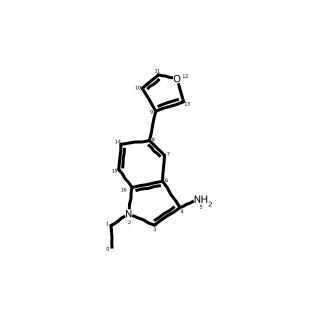 CCn1cc(N)c2cc(-c3ccoc3)ccc21